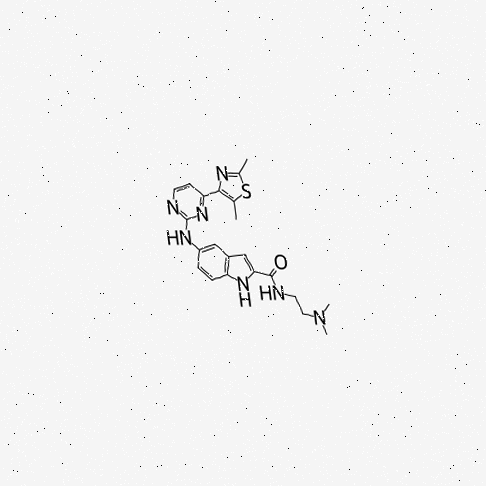 Cc1nc(-c2ccnc(Nc3ccc4[nH]c(C(=O)NCCN(C)C)cc4c3)n2)c(C)s1